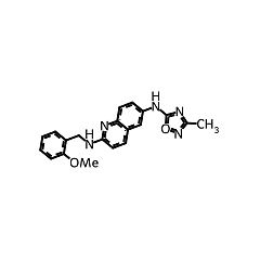 COc1ccccc1CNc1ccc2cc(Nc3nc(C)no3)ccc2n1